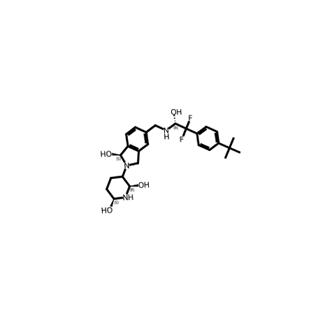 CC(C)(C)c1ccc(C(F)(F)[C@@H](O)NCc2ccc3c(c2)CN(C2CC[C@H](O)N[C@@H]2O)[C@H]3O)cc1